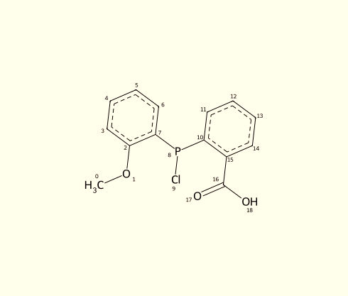 COc1ccccc1P(Cl)c1ccccc1C(=O)O